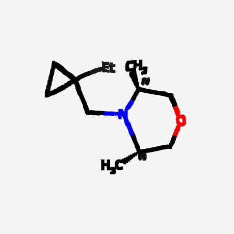 CCC1(CN2[C@@H](C)COC[C@@H]2C)CC1